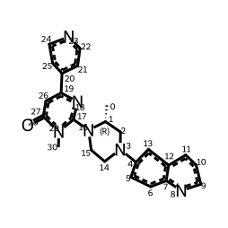 C[C@@H]1CN(c2ccc3ncccc3c2)CCN1c1nc(-c2ccncc2)cc(=O)n1C